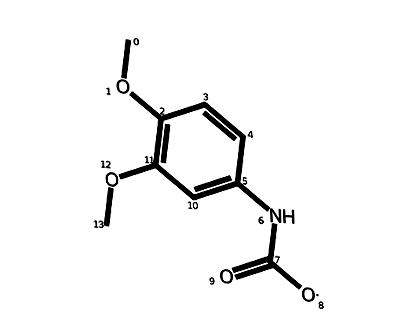 COc1ccc(NC([O])=O)cc1OC